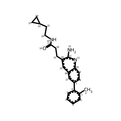 Cc1ccccc1-c1ccc2nc(N)c(CCC(=O)NCCC3CC3)cc2c1